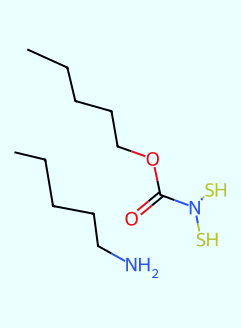 CCCCCN.CCCCCOC(=O)N(S)S